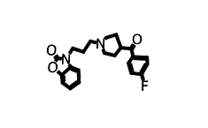 O=C(c1ccc(F)cc1)C1CCN(CCCn2c(=O)oc3ccccc32)CC1